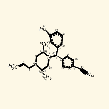 C=CCN1C[C@@H](C)N([C@H](c2ccc(C#N)cc2)c2cccc(O)c2)C[C@@H]1C